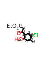 CCOC(=O)CC(=O)c1cc(Cl)c(C)cc1O